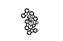 c1ccc2c(c1)-c1ccccc1C21c2ccc3c4c2-n2c5c1cccc5c1ccc[n+](c12)[N+]41c2c(ccc4c5cccc6c5n(c24)-c2c(ccc[n+]21)[Si]61c2ccccc2-c2ccccc21)O3